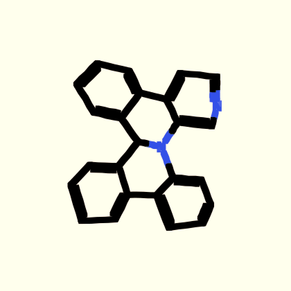 c1ccc2c(c1)-c1ccccc1N1c3cnccc3-c3ccccc3C21